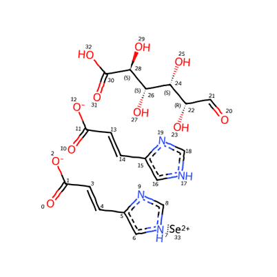 O=C([O-])C=Cc1c[nH]cn1.O=C([O-])C=Cc1c[nH]cn1.O=C[C@H](O)[C@@H](O)[C@H](O)[C@H](O)C(=O)O.[Se+2]